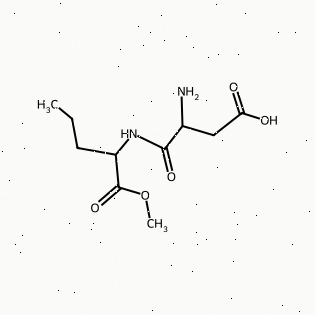 CCCC(NC(=O)C(N)CC(=O)O)C(=O)OC